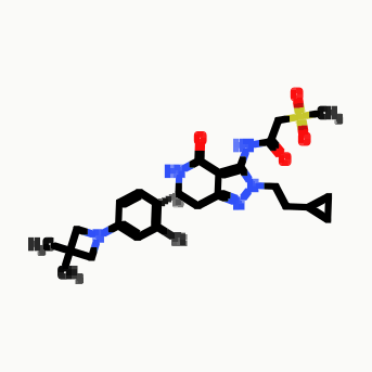 CCc1cc(N2CC(C)(C)C2)ccc1[C@H]1Cc2nn(CCC3CC3)c(NC(=O)CS(C)(=O)=O)c2C(=O)N1